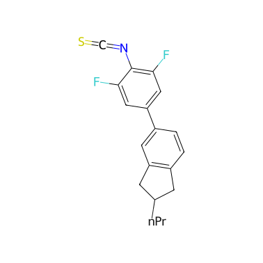 CCCC1Cc2ccc(-c3cc(F)c(N=C=S)c(F)c3)cc2C1